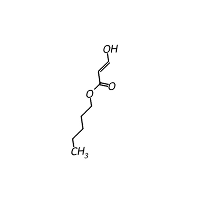 CCCCCOC(=O)C=CO